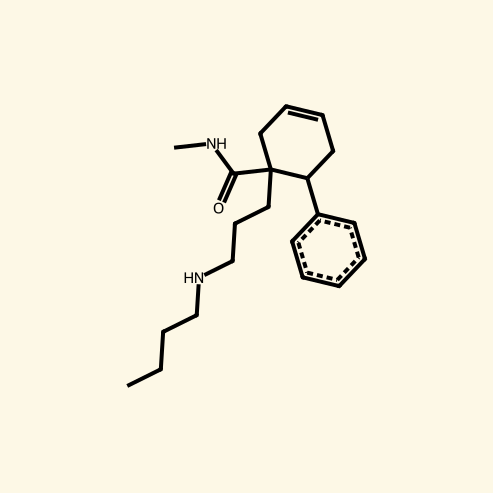 CCCCNCCCC1(C(=O)NC)CC=CCC1c1ccccc1